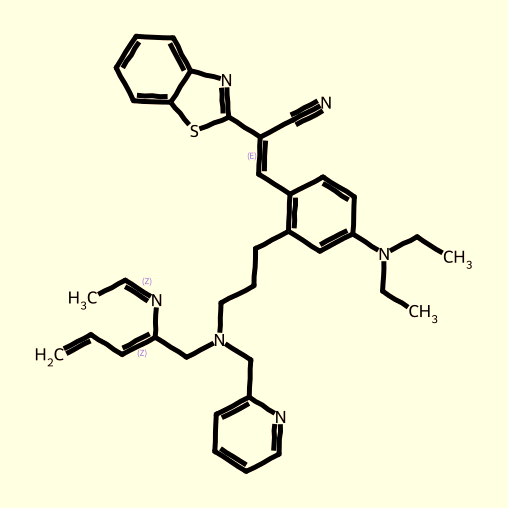 C=C/C=C(CN(CCCc1cc(N(CC)CC)ccc1/C=C(\C#N)c1nc2ccccc2s1)Cc1ccccn1)\N=C/C